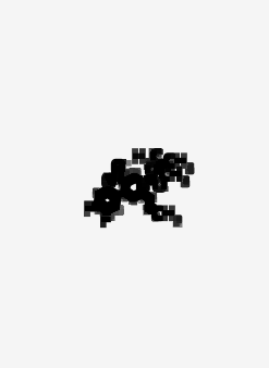 C=CCC1C[C@@H](c2ccc(F)c(F)c2)[C@H]([N+](=O)[O-])CN1C(=O)OC(C)(C)C